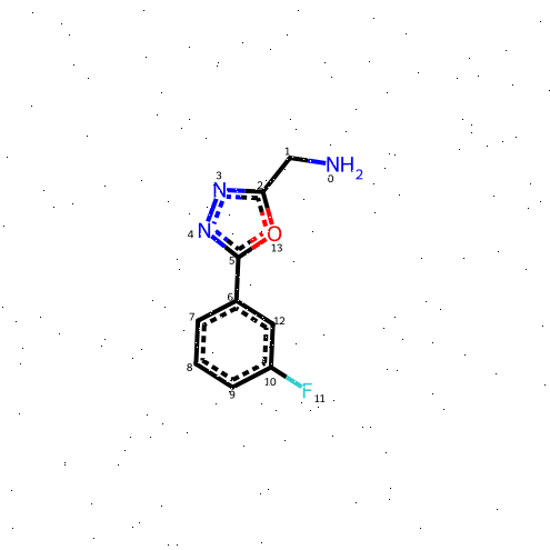 NCc1nnc(-c2cccc(F)c2)o1